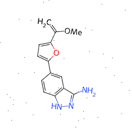 C=C(OC)c1ccc(-c2ccc3[nH]nc(N)c3c2)o1